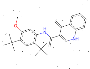 C=C(Nc1cc(OC)c(C(C)(C)C)cc1C(C)(C)C)C1=CNc2ccccc2C1=C